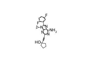 Nc1nc(C#CC2(O)CCCC2)nc2c1nc(-c1cc(F)ccc1F)n2C1CC1